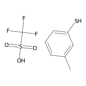 Cc1cccc(S)c1.O=S(=O)(O)C(F)(F)F